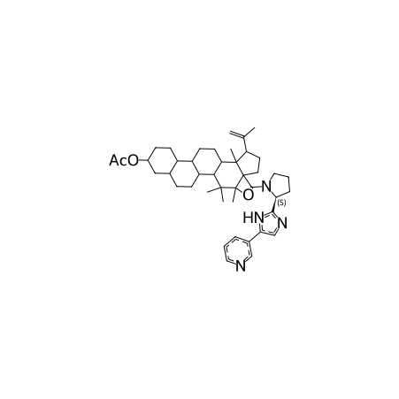 C=C(C)C1CCC2(C(=O)N3CCC[C@H]3c3ncc(-c4cccnc4)[nH]3)C1(C)C1CCC3C4CCC(OC(C)=O)CC4CCC3C1C(C)(C)C2(C)C